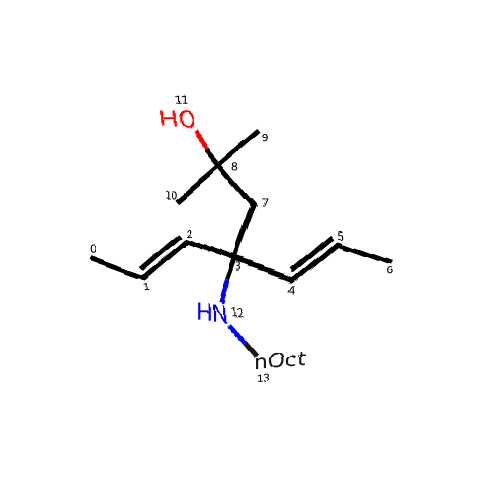 CC=CC(C=CC)(CC(C)(C)O)NCCCCCCCC